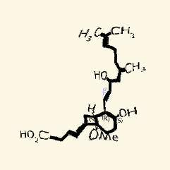 CO[C@@]12CC[C@H](O)[C@H](/C=C/C(O)CC(C)CCC=C(C)C)[C@@H]1CC2=CCCC(=O)O